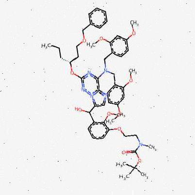 CCC[C@H](CCOCc1ccccc1)Oc1nc(N(Cc2ccc(OC)cc2OC)Cc2ccc(OC)cc2OC)c2ncc(C(O)c3cccc(OCCN(C)C(=O)OC(C)(C)C)c3OC)n2n1